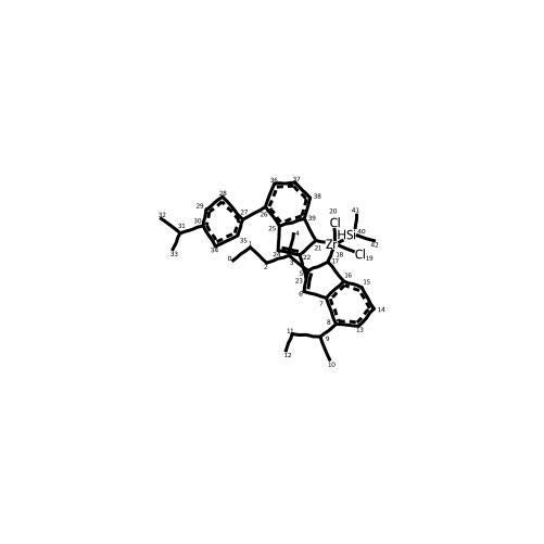 CCCC(C)C1=Cc2c(C(C)CC)cccc2[CH]1[Zr]([Cl])([Cl])([CH]1C(C)=Cc2c(-c3ccc(C(C)C)cc3)cccc21)[SiH](C)C